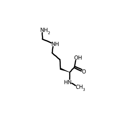 CN[C@@H](CCCNCN)C(=O)O